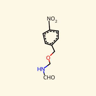 O=CNCOCc1ccc([N+](=O)[O-])cc1